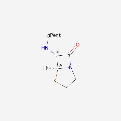 CCCCCN[C@@H]1C(=O)N2CCS[C@@H]12